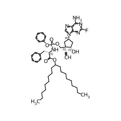 C#C[C@]1(COP(=O)(N[C@@H](Cc2ccccc2)C(=O)OC(CCCCCCCCC)CCCCCCCCC)Oc2ccccc2)C[C@@H](n2cnc3c(N)nc(F)nc32)C[C@@H]1O